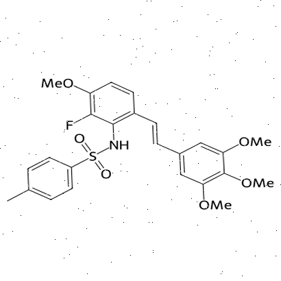 COc1ccc(C=Cc2cc(OC)c(OC)c(OC)c2)c(NS(=O)(=O)c2ccc(C)cc2)c1F